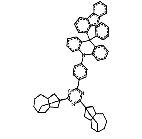 c1ccc(C2(c3cccc4c3oc3ccccc34)c3ccccc3N(c3ccc(-c4nc(C56CC7CCCC(C5)C(C7)C6)nc(C56CC7CCCC(C5)C(C7)C6)n4)cc3)c3ccccc32)cc1